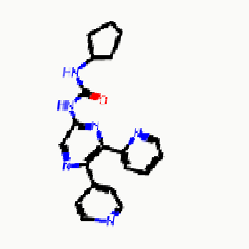 O=C(Nc1cnc(-c2ccncc2)c(-c2ccccn2)n1)NC1CCCC1